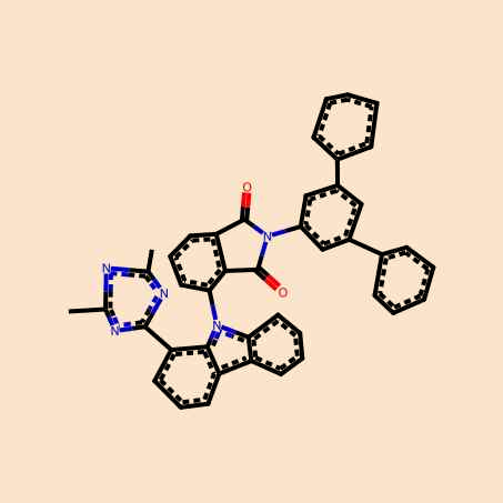 Cc1nc(C)nc(-c2cccc3c4ccccc4n(-c4cccc5c4C(=O)N(c4cc(-c6ccccc6)cc(-c6ccccc6)c4)C5=O)c23)n1